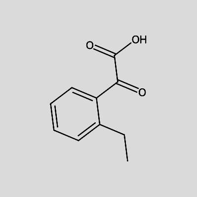 CCc1ccccc1C(=O)C(=O)O